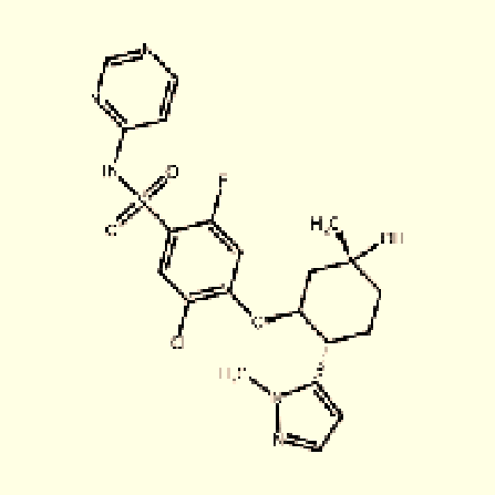 Cn1nccc1[C@H]1CC[C@@](C)(O)C[C@@H]1Oc1cc(F)c(S(=O)(=O)Nc2ccncn2)cc1Cl